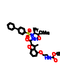 COC(=O)C(C(C)C)N(NC(=O)c1oc2cccc(OCCNC(=O)OC(C)(C)C)c2c1C)S(=O)(=O)c1ccc(-c2ccccc2)cc1